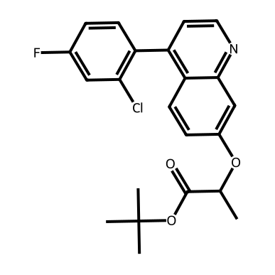 CC(Oc1ccc2c(-c3ccc(F)cc3Cl)ccnc2c1)C(=O)OC(C)(C)C